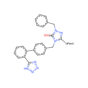 CCCCCc1nn(Cc2ccccc2)c(=O)n1Cc1ccc(-c2ccccc2-c2nnn[nH]2)cc1